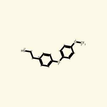 FC(F)(F)Oc1ccc(Oc2ccc(CCS)cc2)cc1